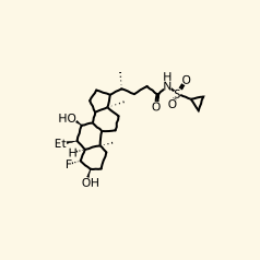 CC[C@@H]1[C@@H]2[C@@H](F)[C@H](O)CC[C@]2(C)C2CC[C@@]3(C)C(CCC3[C@H](C)CCC(=O)NS(=O)(=O)C3CC3)C2[C@@H]1O